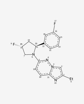 CCc1cn2nc(N3C[C@H](F)C[C@H]3c3cccc(F)c3)ccc2n1